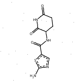 Nc1ncc(C(=O)NC2CCC(=O)NC2=O)s1